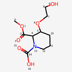 COC(=O)C1C(OCCO)CCCN1C(=O)O